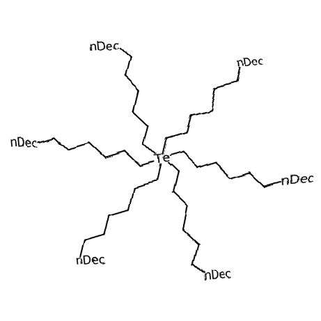 CCCCCCCCCCCCCCCC[Te](CCCCCCCCCCCCCCCC)(CCCCCCCCCCCCCCCC)(CCCCCCCCCCCCCCCC)(CCCCCCCCCCCCCCCC)CCCCCCCCCCCCCCCC